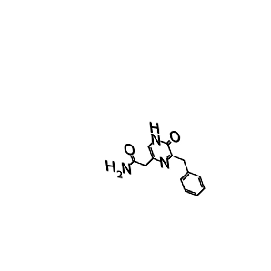 NC(=O)Cc1c[nH]c(=O)c(Cc2ccccc2)n1